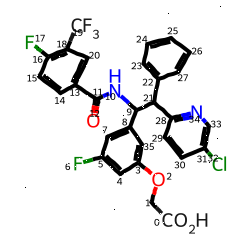 O=C(O)COc1cc(F)cc(C(NC(=O)c2ccc(F)c(C(F)(F)F)c2)C(c2ccccc2)c2ccc(Cl)cn2)c1